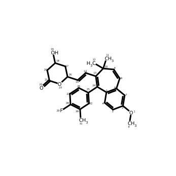 COc1ccc2c(c1)C=CC(C)(C)C(C=CC1CC(O)CC(=O)O1)=C2c1ccc(F)c(C)c1